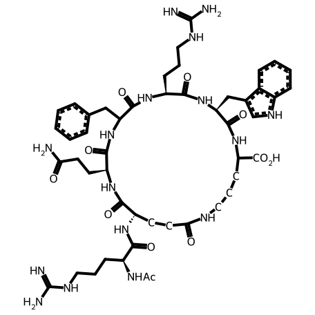 CC(=O)N[C@@H](CCCNC(=N)N)C(=O)N[C@H]1CCC(=O)NCCCC(C(=O)O)NC(=O)[C@H](Cc2c[nH]c3ccccc23)NC(=O)[C@H](CCCNC(=N)N)NC(=O)C(Cc2ccccc2)NC(=O)[C@H](CCC(N)=O)NC1=O